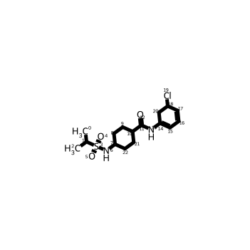 CC(C)S(=O)(=O)NC1CCC(C(=O)NC2=CC=CC(Cl)C2)CC1